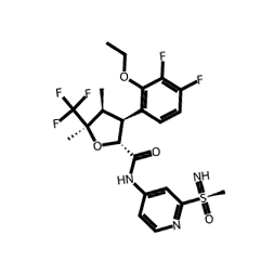 CCOc1c([C@H]2[C@H](C(=O)Nc3ccnc([S@](C)(=N)=O)c3)O[C@@](C)(C(F)(F)F)[C@H]2C)ccc(F)c1F